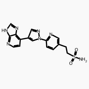 NS(=O)(=O)CCc1ccc(-n2cc(-c3ccnc4[nH]cnc34)cn2)nc1